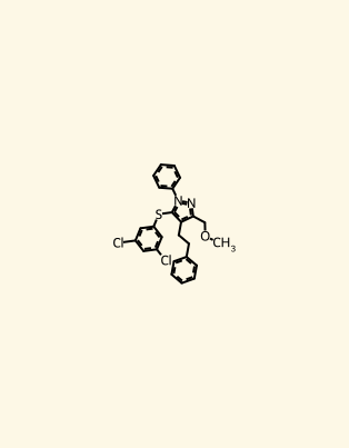 COCc1nn(-c2ccccc2)c(Sc2cc(Cl)cc(Cl)c2)c1CCc1ccccc1